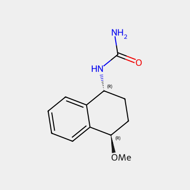 CO[C@@H]1CC[C@@H](NC(N)=O)c2ccccc21